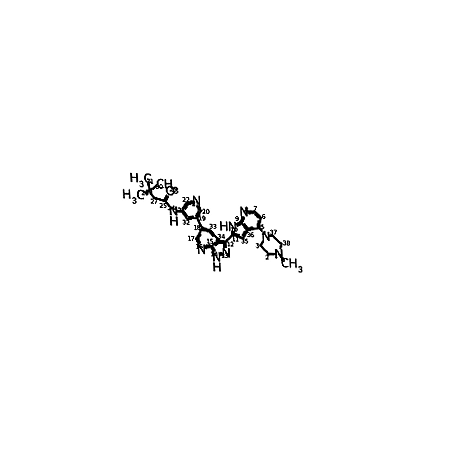 CN1CCN(c2ccnc3[nH]c(-c4n[nH]c5ncc(-c6cncc(NC(=O)CC(C)(C)C)c6)cc45)cc23)CC1